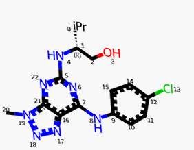 CC(C)[C@H](CO)Nc1nc(Nc2ccc(Cl)cc2)c2nnn(C)c2n1